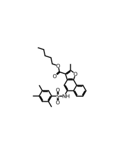 CCCCCOC(=O)c1c(C)oc2c1cc(NS(=O)(=O)c1cc(C)c(C)cc1C)c1ccccc12